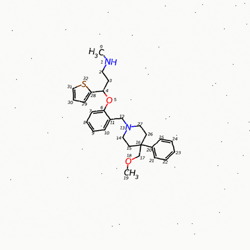 CNCCC(Oc1ccccc1CN1CCC(COC)(c2ccccc2)CC1)c1cccs1